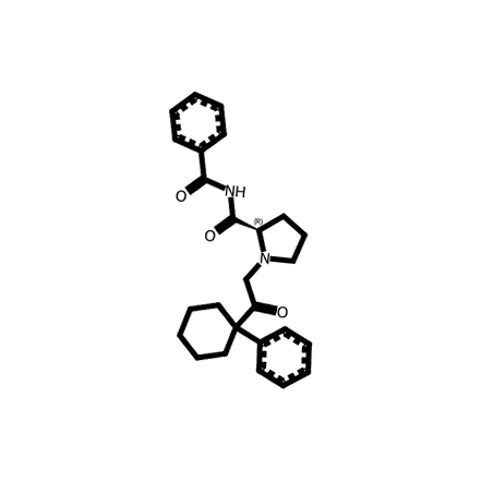 O=C(NC(=O)[C@H]1CCCN1CC(=O)C1(c2ccccc2)CCCCC1)c1ccccc1